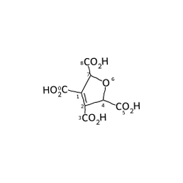 O=C(O)C1=C(C(=O)O)C(C(=O)O)OC1C(=O)O